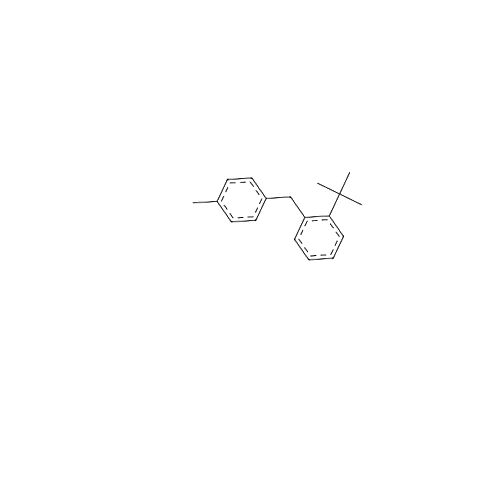 Cc1ccc(Cc2ccccc2C(C)(C)C)cc1